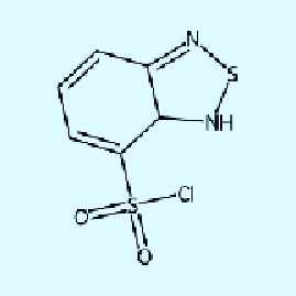 O=S(=O)(Cl)C1=CC=CC2=NSNC12